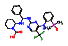 CP(C)(=O)c1ccccc1Nc1nc(NC(NC2CCCCN2C(=O)O)c2ccccc2)ncc1C(F)(F)F